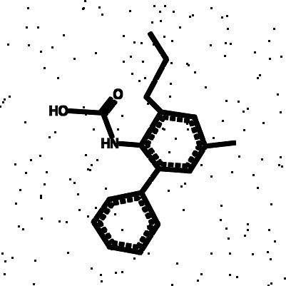 CCCc1cc(C)cc(-c2ccccc2)c1NC(=O)O